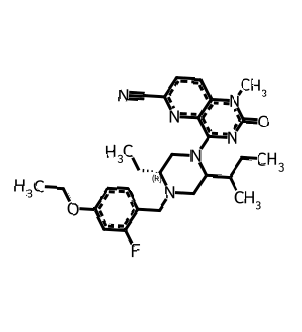 CCOc1ccc(CN2CC(C(C)CC)N(c3nc(=O)n(C)c4ccc(C#N)nc34)C[C@H]2CC)c(F)c1